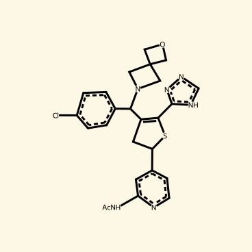 CC(=O)Nc1cc(C2CC(C(c3ccc(Cl)cc3)N3CC4(COC4)C3)=C(c3nnc[nH]3)S2)ccn1